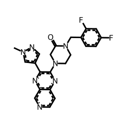 Cn1cc(-c2nc3cnccc3nc2N2CCN(Cc3ccc(F)cc3F)C(=O)C2)cn1